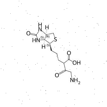 NCC(=O)C(CCC[C@@H]1SC[C@@H]2NC(=O)N[C@@H]21)C(=O)O